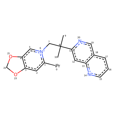 CC(C)c1cc2c(c[n+]1CC(C)(C)c1cc3ncccc3cn1)OCO2